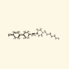 CCCCCCCC1CCC(C#Cc2ccc(-c3ccc(F)cc3)cc2)CC1